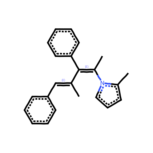 CC(=C\c1ccccc1)/C(=C(/C)n1cccc1C)c1ccccc1